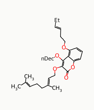 CCC=CCCOc1cccc2oc(=O)c(OC/C=C(\C)CCC=C(C)C)c(OCCCCCCCCCC)c12